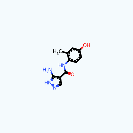 Cc1cc(O)ccc1NC(=O)c1cn[nH]c1N